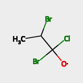 CC(Br)C([O])(Cl)Br